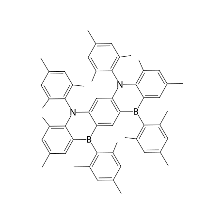 Cc1cc(C)c(B2c3cc4c(cc3N(c3c(C)cc(C)cc3C)c3c(C)cc(C)cc32)N(c2c(C)cc(C)cc2C)c2c(C)cc(C)cc2B4c2c(C)cc(C)cc2C)c(C)c1